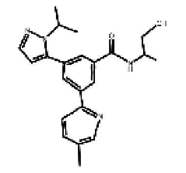 Cc1ccc(-c2cc(C(=O)NC(C)CO)cc(-c3ccnn3C(C)C)c2)nc1